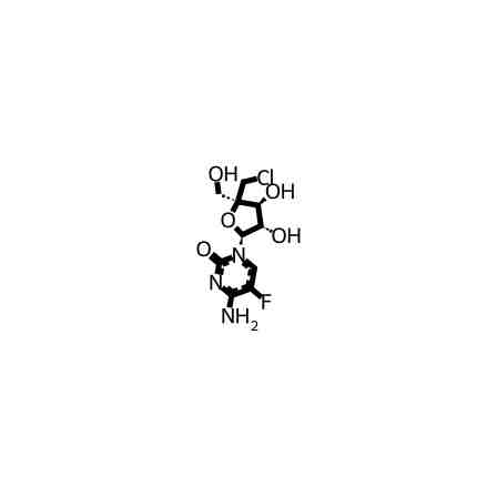 Nc1nc(=O)n([C@@H]2O[C@@](CO)(CCl)[C@@H](O)[C@@H]2O)cc1F